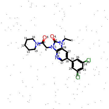 CCn1c(=O)n(CC(=O)N2CCCCC2)c2ncc(-c3cc(Cl)cc(Cl)c3)cc21